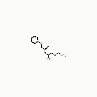 CCOCC(C)OC(=O)COc1ccccc1